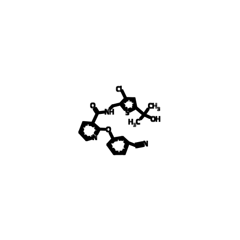 CC(C)(O)c1cc(Cl)c(CNC(=O)c2cccnc2Oc2cccc(C#N)c2)s1